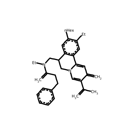 C=C(C)C1=CN2CC(CN(CC)C(=C)CCc3ccccc3)c3cc(CCCCCC)c(CC)cc3C2=CC1=C